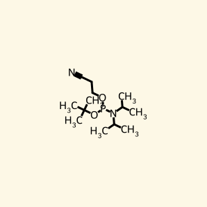 CC(C)N(C(C)C)P(OCCC#N)OC(C)(C)C